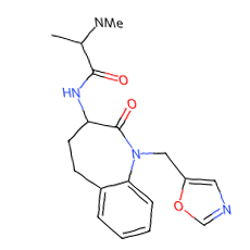 CNC(C)C(=O)NC1CCc2ccccc2N(Cc2cnco2)C1=O